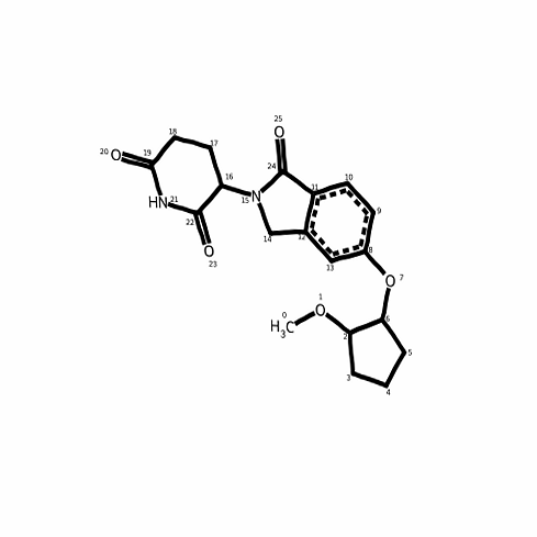 COC1CCCC1Oc1ccc2c(c1)CN(C1CCC(=O)NC1=O)C2=O